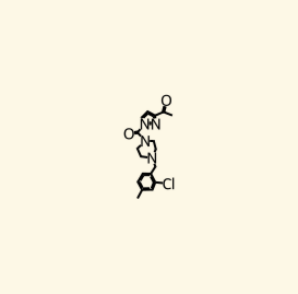 CC(=O)c1ccn(C(=O)N2CCN(Cc3ccc(C)cc3Cl)CC2)n1